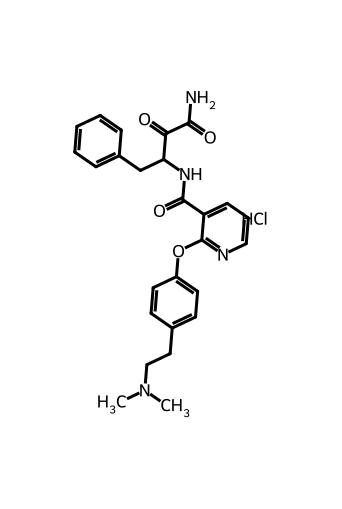 CN(C)CCc1ccc(Oc2ncccc2C(=O)NC(Cc2ccccc2)C(=O)C(N)=O)cc1.Cl